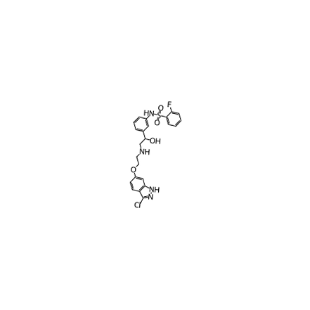 O=S(=O)(Nc1cccc(C(O)CNCCOc2ccc3c(Cl)n[nH]c3c2)c1)c1ccccc1F